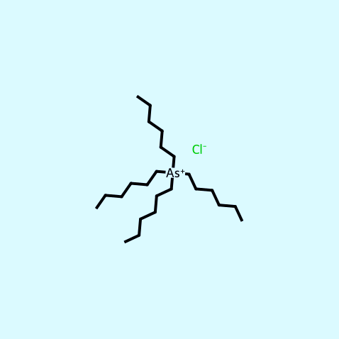 CCCCCC[As+](CCCCCC)(CCCCCC)CCCCCC.[Cl-]